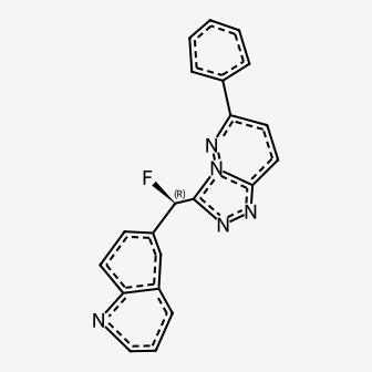 F[C@H](c1ccc2ncccc2c1)c1nnc2ccc(-c3ccccc3)nn12